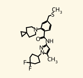 CSCc1ccc(C(=O)Nc2cc(C)n(C3CCC(F)(F)CC3)n2)c(N2CCC3(CC2)CC3)c1